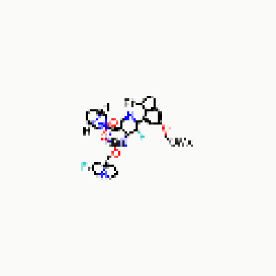 CCC1CCc2cc(OCOC)cc(-c3ncc4c(N5C[C@H]6CC[C@@H](C5)N6C(=O)OC(C)(C)C)nc(OC[C@@]56CCCN5C[C@H](F)C6)nc4c3F)c21